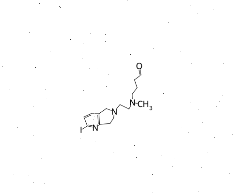 CN(CCCC=O)CCN1CCc2nc(I)ccc2C1